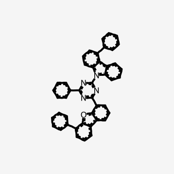 c1ccc(-c2nc(-c3cccc4c3oc3c(-c5ccccc5)cccc34)nc(-n3c4ccccc4c4c(-c5ccccc5)cccc43)n2)cc1